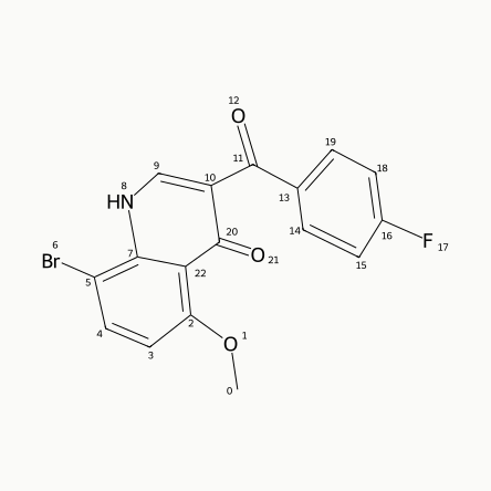 COc1ccc(Br)c2[nH]cc(C(=O)c3ccc(F)cc3)c(=O)c12